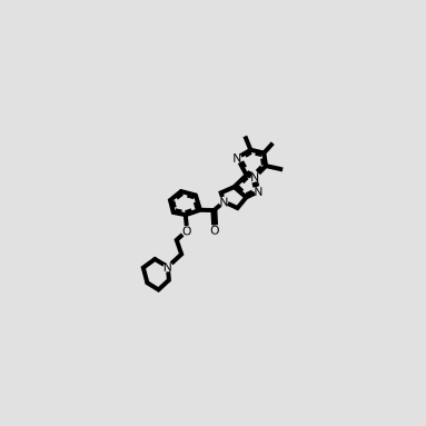 Cc1nc2c3c(nn2c(C)c1C)CN(C(=O)c1ccccc1OCCN1CCCCC1)C3